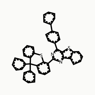 c1ccc(-c2ccc(-c3nc(-c4cccc5c4Sc4ccccc4C5(c4ccccc4)c4ccccc4)nc4c3sc3ccccc34)cc2)cc1